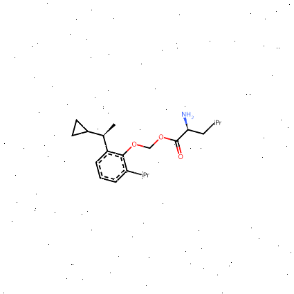 CC(C)C[C@H](N)C(=O)OCOc1c(C(C)C)cccc1[C@H](C)C1CC1